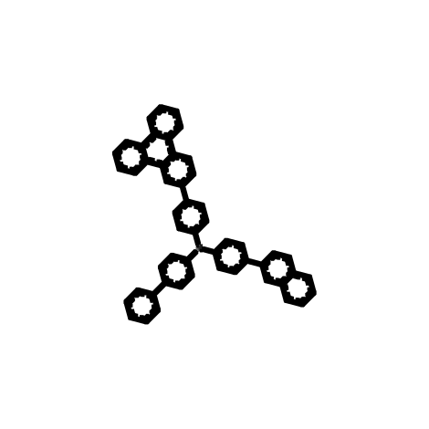 c1ccc(-c2ccc(N(c3ccc(-c4ccc5ccccc5c4)cc3)c3ccc(-c4ccc5c6ccccc6c6ccccc6c5c4)cc3)cc2)cc1